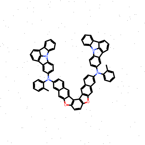 Cc1ccccc1N(c1ccc2cc3c(cc2c1)oc1ccc2oc4cc5cc(N(c6ccc7c(c6)c6cccc8c9ccccc9n7c86)c6ccccc6C)ccc5cc4c2c13)c1ccc2c(c1)c1cccc3c4ccccc4n2c31